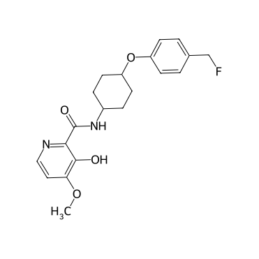 COc1ccnc(C(=O)NC2CCC(Oc3ccc(CF)cc3)CC2)c1O